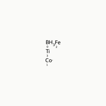 B.[Co].[Fe].[Ti]